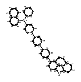 c1ccc(N(c2ccc(-c3ccc(-c4ccc(-c5ccc6oc7cccc8ccc5c6c87)cc4)cc3)cc2)c2cccc3ccccc23)cc1